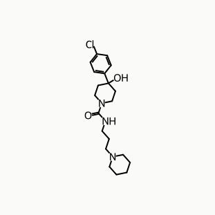 O=C(NCCCN1CCCCC1)N1CCC(O)(c2ccc(Cl)cc2)CC1